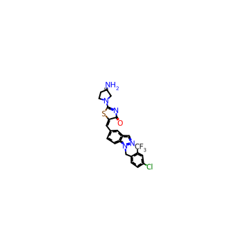 N[C@@H]1CCN(C2=NC(=O)C(=Cc3ccc4c(cnn4Cc4ccc(Cl)cc4C(F)(F)F)c3)S2)C1